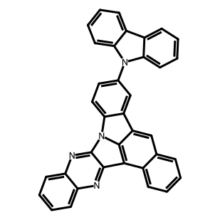 c1ccc2c(c1)cc1c3cc(-n4c5ccccc5c5ccccc54)ccc3n3c4nc5ccccc5nc4c2c13